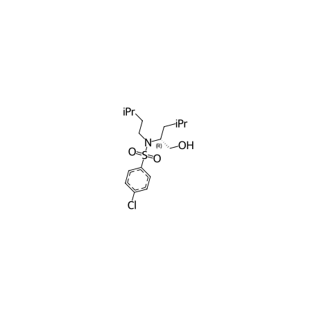 CC(C)CCN([C@@H](CO)CC(C)C)S(=O)(=O)c1ccc(Cl)cc1